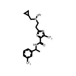 CCCN(CCc1nc(C(F)(F)F)c(C(=O)NC(C)c2cccc(C(F)(F)F)c2)s1)CC1CC1